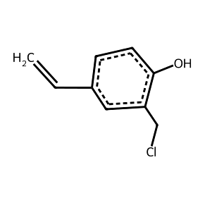 C=Cc1ccc(O)c(CCl)c1